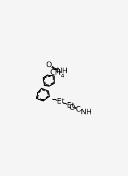 C.CCC.CCC.N=C=O.N=C=O.c1ccccc1.c1ccccc1